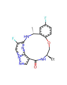 CC[C@@H]1COc2ccc(F)cc2[C@@H](C)Nc2nc3c(cnn3cc2F)C(=O)N1